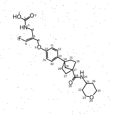 O=C(O)NCC(=CF)COc1ccc(C23CCC(C(=O)NC4CCOCC4)(CC2)C3)cc1